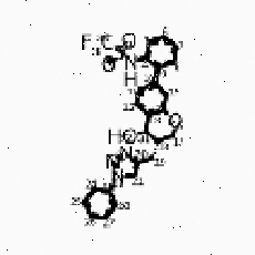 O=S(=O)(Nc1ccccc1-c1ccc2c(c1)OC[C@H](Cc1cn(-c3ccccc3)nn1)[C@H]2O)C(F)(F)F